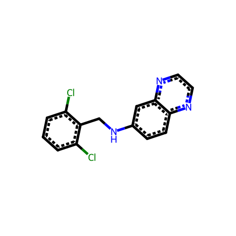 Clc1cccc(Cl)c1CNc1ccc2nccnc2c1